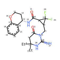 CCC1(CC)CC(=O)N(CC2C(C(=O)N[C@H]3CCOc4ccccc43)C2(F)F)C(=N)N1